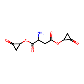 NC(CC(=O)OC1CC1=O)C(=O)OC1CC1=O